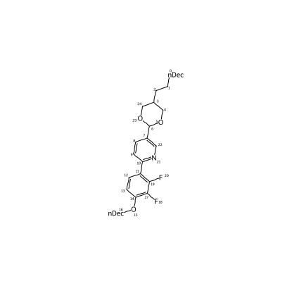 CCCCCCCCCCCCC1COC(c2ccc(-c3ccc(OCCCCCCCCCC)c(F)c3F)nc2)OC1